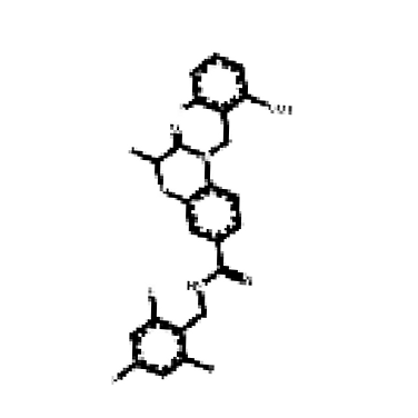 COc1cccc(F)c1CN1C(=O)C(C)Sc2cc(C(=O)NCc3c(F)cc(F)cc3F)ccc21